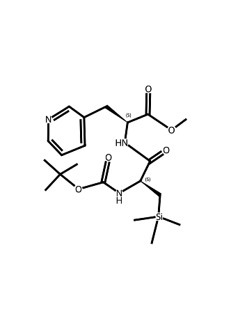 COC(=O)[C@H](Cc1cccnc1)NC(=O)[C@@H](C[Si](C)(C)C)NC(=O)OC(C)(C)C